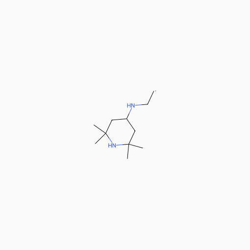 [CH2]CNC1CC(C)(C)NC(C)(C)C1